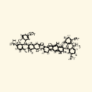 Cc1ccc(C(C)C)cc1N(c1ccc2cc3c(cc2c1)oc1c3ccc2c3cc4ccc(N(c5cc(C(C)C)ccc5C)c5cc(C(C)C)ccc5C)cc4cc3oc21)c1cc(C(C)C)ccc1C